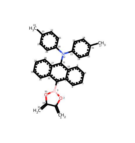 C=C1OB(c2c3ccccc3c(N(c3ccc(C)cc3)c3ccc(C)cc3)c3ccccc23)OC1=C